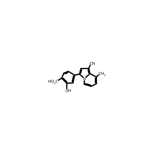 Cc1cccn2c(-c3ccc(C(=O)O)c(O)c3)cc(C#N)c12